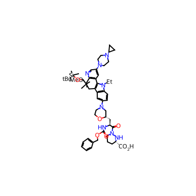 CCn1c(-c2cc(N3CCN(C4CC4)CC3)cnc2[C@H](C)OC)c(CC(C)(C)CO[Si](C)(C)C(C)(C)C)c2cc(N3CCO[C@@H](C[C@H](NC(=O)OCc4ccccc4)C(=O)N4CCC[C@@H](C(=O)O)N4)C3)ccc21